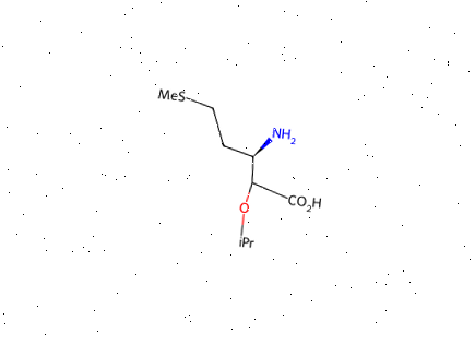 CSCC[C@@H](N)C(OC(C)C)C(=O)O